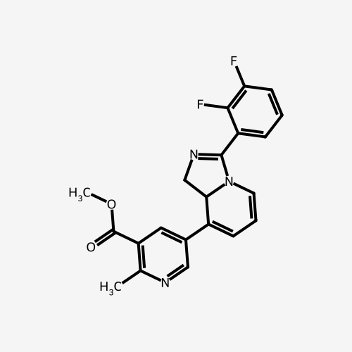 COC(=O)c1cc(C2=CC=CN3C(c4cccc(F)c4F)=NCC23)cnc1C